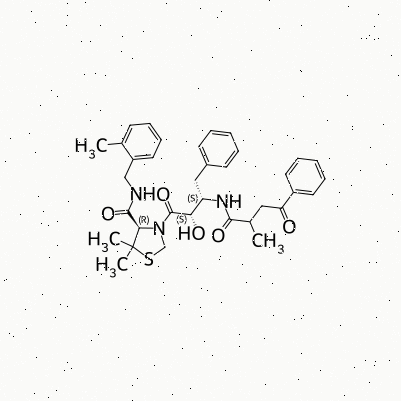 Cc1ccccc1CNC(=O)[C@H]1N(C(=O)[C@@H](O)[C@H](Cc2ccccc2)NC(=O)C(C)CC(=O)c2ccccc2)CSC1(C)C